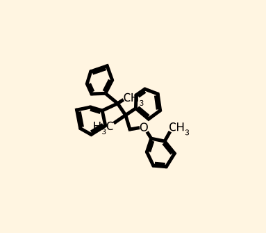 Cc1ccccc1OCC(C)(c1ccccc1)C(C)(c1ccccc1)c1ccccc1